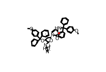 COc1ccc(C(Nc2ccn([C@@H]3O[C@@](CO)(N=[N+]=[N-])[C@@H](OC(c4ccccc4)(c4ccccc4)c4ccc(OC)cc4)[C@@H]3C)c(=O)n2)(c2ccccc2)c2ccccc2)cc1